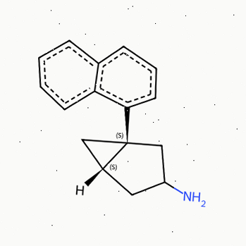 NC1C[C@@H]2C[C@]2(c2cccc3ccccc23)C1